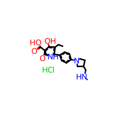 CCc1c(-c2ccc(N3CCC(CNC)C3)cc2)[nH]c(=O)c(C(=O)O)c1O.Cl